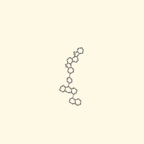 c1ccc2c(-c3cccc4c(-c5ccc(-c6ccc7c(c6)sc6ccc8c(ccc9c%10ccccc%10sc98)c67)cc5)c5ccccc5cc34)cccc2c1